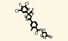 Cc1cc(C2=NOC(c3cc(Cl)c(F)c(Cl)c3)(C(F)(F)F)C2)ccc1C(=O)NC1CC(Br)=NO1